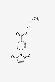 CCCCOC(=O)c1ccc(N2C(=O)C=CC2=O)cc1